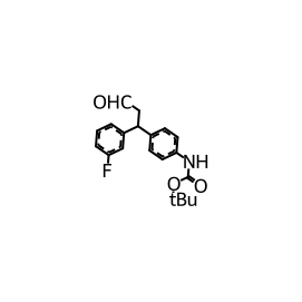 CC(C)(C)OC(=O)Nc1ccc(C(CC=O)c2cccc(F)c2)cc1